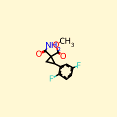 COC(=O)C1(C(N)=O)CC1c1cc(F)ccc1F